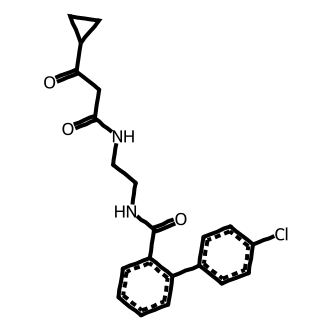 O=C(CC(=O)C1CC1)NCCNC(=O)c1ccccc1-c1ccc(Cl)cc1